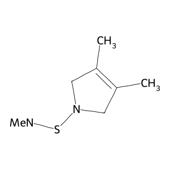 CNSN1CC(C)=C(C)C1